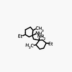 CCC1CCC(C)C(N)(CC2(N)CC(CC)CCC2C)C1